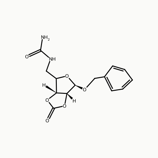 NC(=O)NCC1O[C@@H](OCc2ccccc2)[C@@H]2OC(=O)O[C@H]12